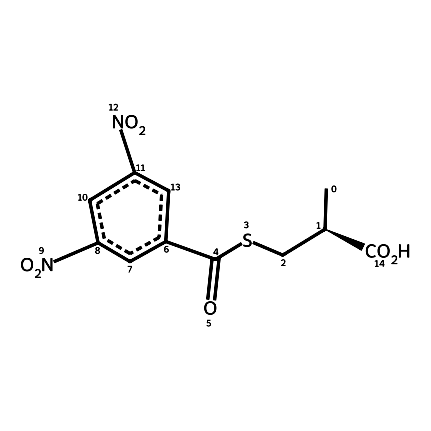 C[C@H](CSC(=O)c1cc([N+](=O)[O-])cc([N+](=O)[O-])c1)C(=O)O